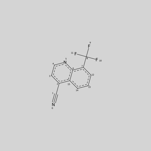 N#Cc1ccnc2c(C(F)(F)F)c[c]cc12